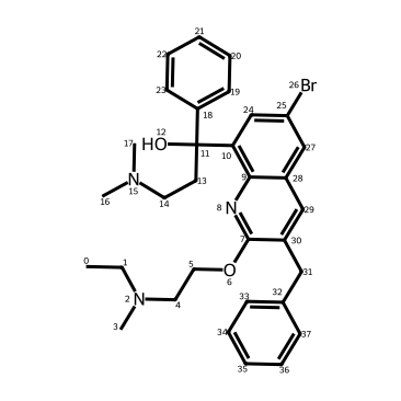 CCN(C)CCOc1nc2c(C(O)(CCN(C)C)c3ccccc3)cc(Br)cc2cc1Cc1ccccc1